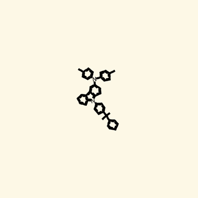 Cc1ccc(N(c2ccc(C)cc2)c2ccc3c(c2)c2ccccc2n3-c2ccc(C(C)(C)c3ccccc3)cc2)cc1